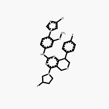 COc1cc(Nc2nc3c(c(N4CCC(F)C4)n2)COCC3c2ccc(F)cc2)ccc1-n1cnc(Cl)c1